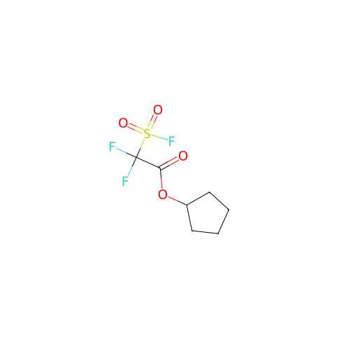 O=C(OC1CCCC1)C(F)(F)S(=O)(=O)F